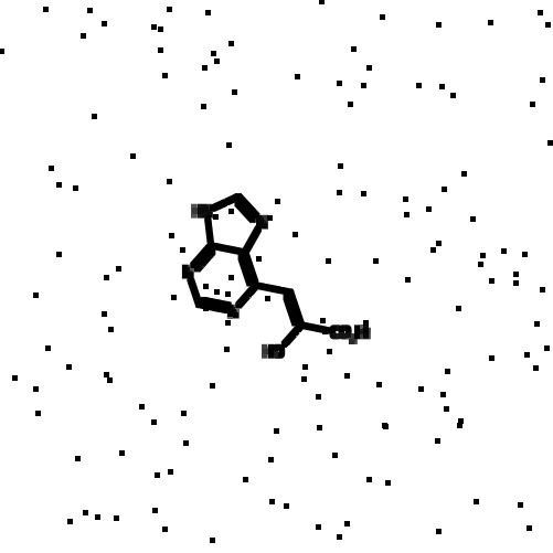 CCOC(=O)/C(O)=C/c1ncnc2[nH]cnc12